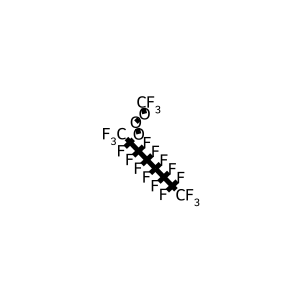 FC(F)(F)OOOC(F)(C(F)(F)F)C(F)(F)C(F)(F)C(F)(F)C(F)(F)C(F)(F)C(F)(F)F